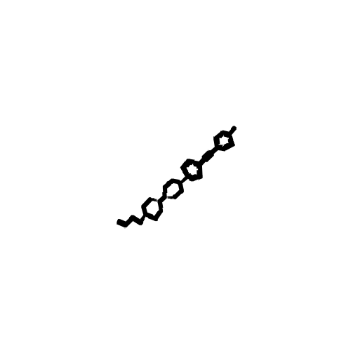 C=CCC[C@H]1CC[C@H]([C@H]2CC[C@H](c3ccc(C#Cc4ccc(C)cc4)cc3)CC2)CC1